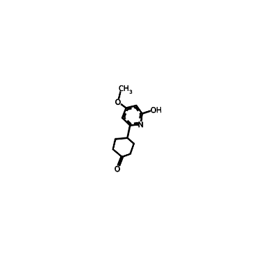 COc1cc(O)nc(C2CCC(=O)CC2)c1